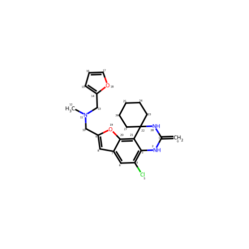 C=C1Nc2c(Cl)cc3cc(CN(C)Cc4ccco4)oc3c2C2(CCCCC2)N1